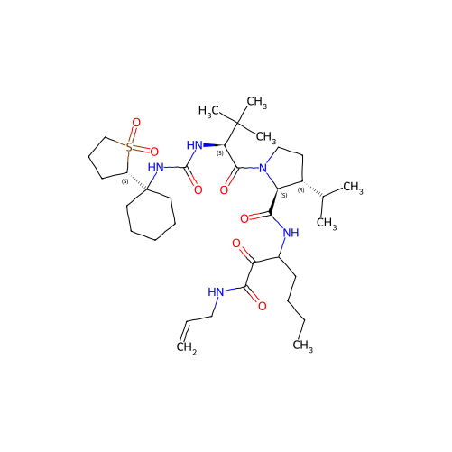 C=CCNC(=O)C(=O)C(CCCC)NC(=O)[C@@H]1[C@@H](C(C)C)CCN1C(=O)[C@@H](NC(=O)NC1([C@@H]2CCCS2(=O)=O)CCCCC1)C(C)(C)C